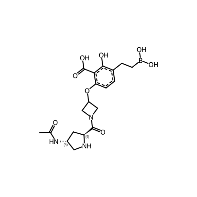 CC(=O)N[C@H]1CN[C@H](C(=O)N2CC(Oc3ccc(CCB(O)O)c(O)c3C(=O)O)C2)C1